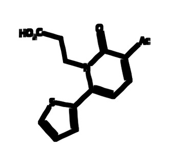 CC(=O)c1ccc(-c2cccs2)n(CCC(=O)O)c1=O